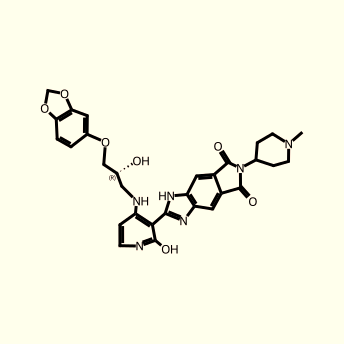 CN1CCC(N2C(=O)c3cc4nc(-c5c(NC[C@@H](O)COc6ccc7c(c6)OCO7)ccnc5O)[nH]c4cc3C2=O)CC1